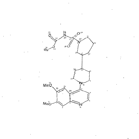 COc1cc2nccc(N3CCC(C4CCCN(S(=O)(=O)NC(=O)OC(C)(C)C)C4)CC3)c2cc1OC